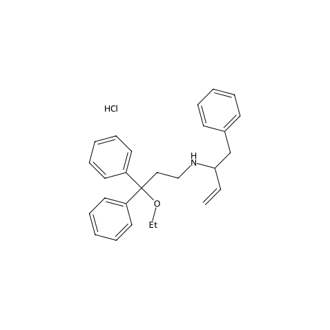 C=CC(Cc1ccccc1)NCCC(OCC)(c1ccccc1)c1ccccc1.Cl